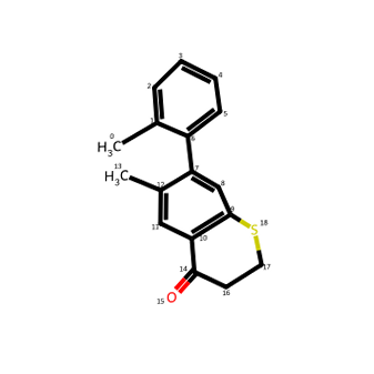 Cc1ccccc1-c1cc2c(cc1C)C(=O)CCS2